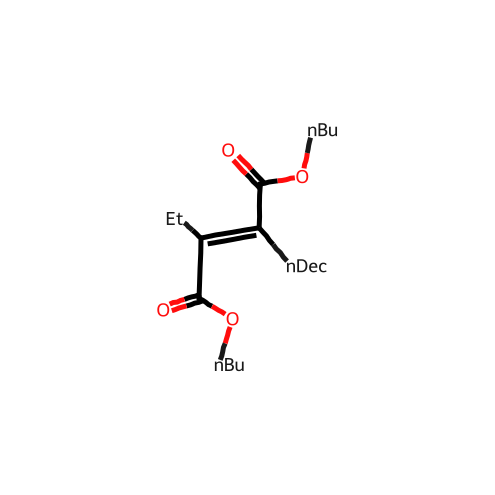 CCCCCCCCCCC(C(=O)OCCCC)=C(CC)C(=O)OCCCC